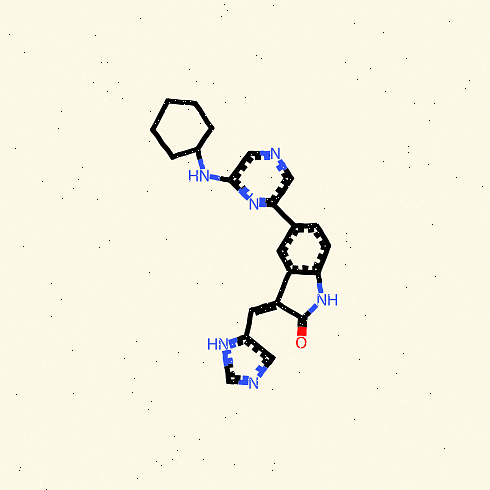 O=C1Nc2ccc(-c3cncc(NC4CCCCC4)n3)cc2/C1=C/c1cnc[nH]1